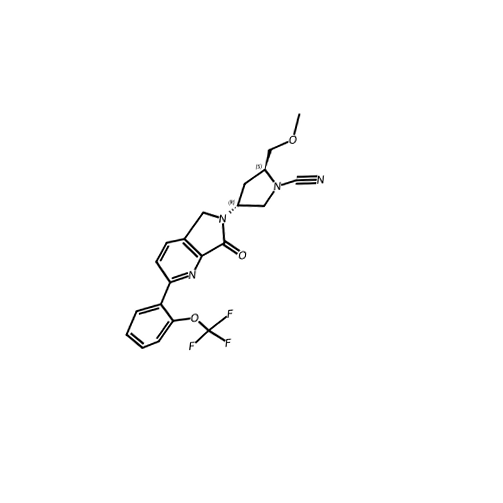 COC[C@@H]1C[C@@H](N2Cc3ccc(-c4ccccc4OC(F)(F)F)nc3C2=O)CN1C#N